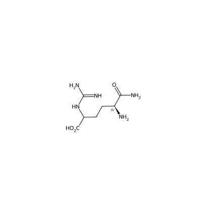 N=C(N)NC(CC[C@H](N)C(N)=O)C(=O)O